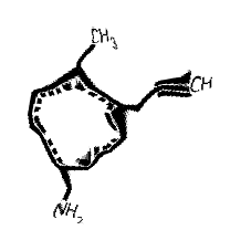 C#Cc1cc(N)ccc1C